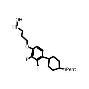 CCCCCC1CCC(c2ccc(OCCCPO)c(F)c2F)CC1